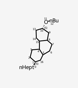 CCCCCCC[C@H]1CCC2C(CCC3C[C@@H](OCCCC)CCC32)C1